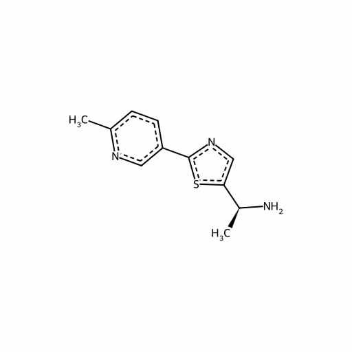 Cc1ccc(-c2ncc([C@H](C)N)s2)cn1